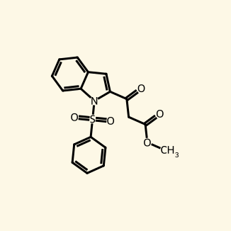 COC(=O)CC(=O)c1cc2ccccc2n1S(=O)(=O)c1ccccc1